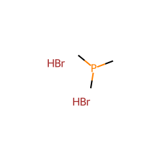 Br.Br.CP(C)C